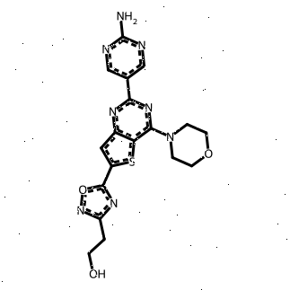 Nc1ncc(-c2nc(N3CCOCC3)c3sc(-c4nc(CCO)no4)cc3n2)cn1